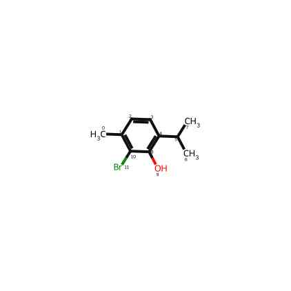 Cc1ccc(C(C)C)c(O)c1Br